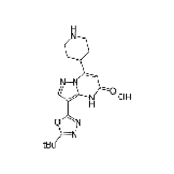 CC(C)(C)c1nnc(-c2cnn3c(C4CCNCC4)cc(=O)[nH]c23)o1.Cl